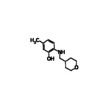 Cc1ccc(NCC2CCOCC2)c(O)c1